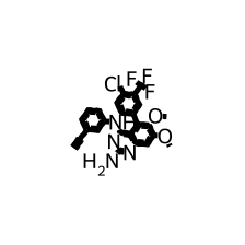 C#Cc1cccc(Nc2nc(N)nc3cc(OC)c(OC)c(-c4ccc(Cl)c(C(F)(F)F)c4)c23)c1